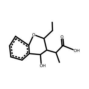 CCC1Oc2ccccc2C(O)C1C(C)C(=O)O